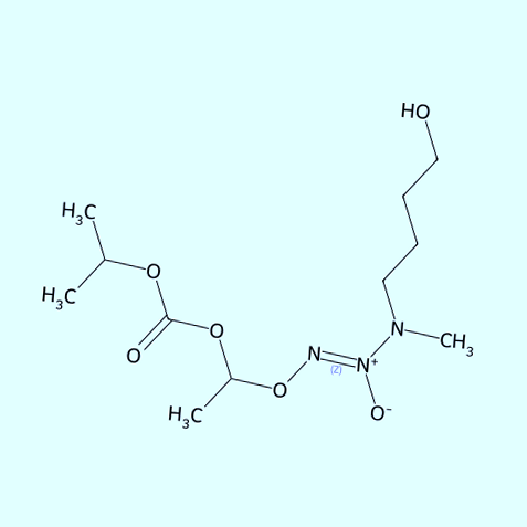 CC(C)OC(=O)OC(C)O/N=[N+](\[O-])N(C)CCCCO